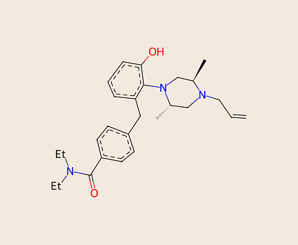 C=CCN1C[C@H](C)N(c2c(O)cccc2Cc2ccc(C(=O)N(CC)CC)cc2)C[C@H]1C